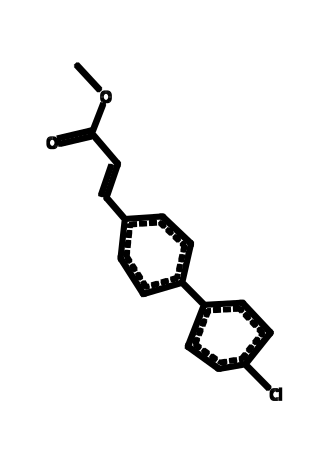 COC(=O)/C=C/c1ccc(-c2ccc(Cl)cc2)cc1